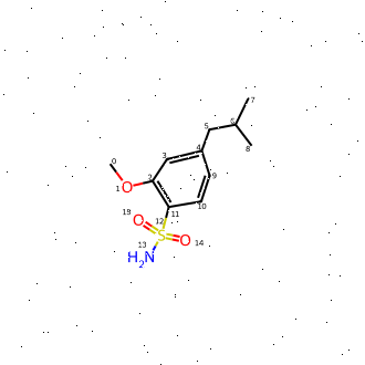 COc1cc(CC(C)C)ccc1S(N)(=O)=O